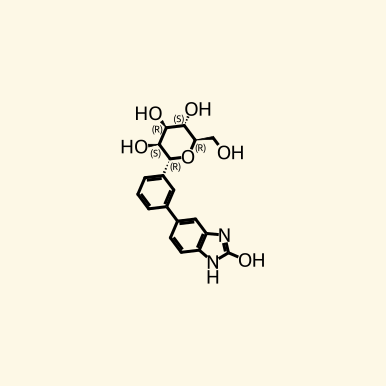 OC[C@H]1O[C@H](c2cccc(-c3ccc4[nH]c(O)nc4c3)c2)[C@@H](O)[C@@H](O)[C@@H]1O